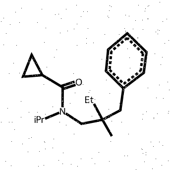 CCC(C)(Cc1ccccc1)CN(C(=O)C1CC1)C(C)C